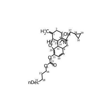 C=C1CC[C@@]2(O)C3CC4C=CC(OC(=O)OCCCCCCCCCCCCC)=C5O[C@@H]1[C@]2(CCN3CC1CC1)C54